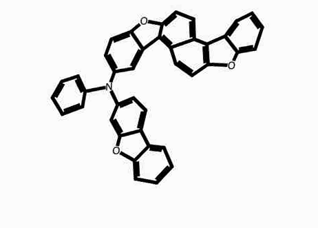 c1ccc(N(c2ccc3c(c2)oc2ccccc23)c2ccc3oc4ccc5c(ccc6oc7ccccc7c65)c4c3c2)cc1